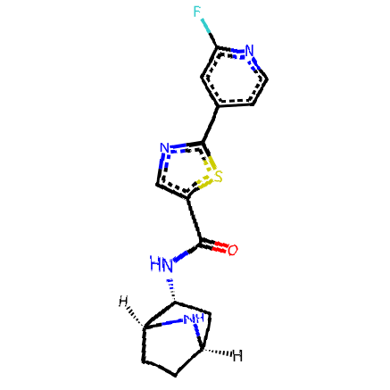 O=C(N[C@@H]1C[C@H]2CC[C@@H]1N2)c1cnc(-c2ccnc(F)c2)s1